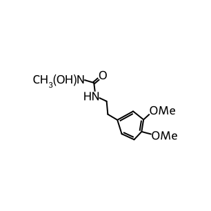 COc1ccc(CCNC(=O)N(C)O)cc1OC